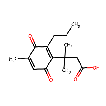 CCCC1=C(C(C)(C)CC(=O)O)C(=O)C=C(C)C1=O